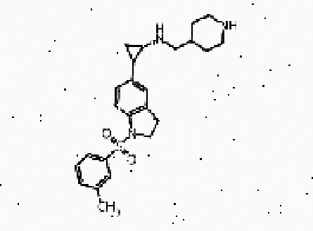 Cc1cccc(S(=O)(=O)N2CCc3cc(C4CC4NCC4CCNCC4)ccc32)c1